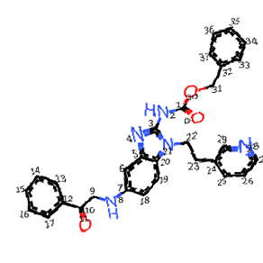 O=C(Nc1nc2cc(NCC(=O)c3ccccc3)ccc2n1CCc1cccnc1)OCc1ccccc1